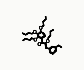 CCCCOC(=Cc1cccc(CC)c1)C(=O)c1ccc(OCCCC)c(OCCCC)c1OCCCC